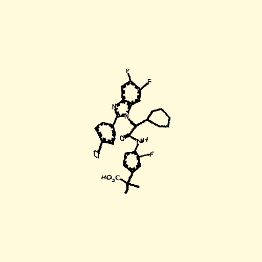 CC(C)(C(=O)O)c1ccc(NC(=O)C(C2CCCCC2)n2c(-c3ccc(Cl)cc3)nc3cc(F)c(F)cc32)c(F)c1